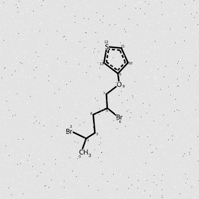 CC(Br)CCC(Br)COc1ccsc1